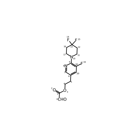 O=CC(=O)OCCc1cnc(N2CCC(F)(F)CC2)c(F)c1